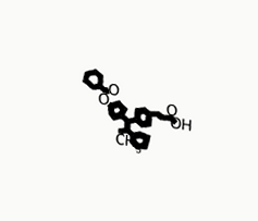 CCC(=C(c1ccc(C=CC(=O)O)cc1)c1ccc(OC(=O)C2CCCCC2)cc1)c1ccccc1